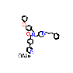 COc1ccc(-c2ccc(C(=O)N(Cc3ccc(Oc4ccccc4)cc3)CC3CCN(CCCc4ccccc4)CC3)cc2)cn1